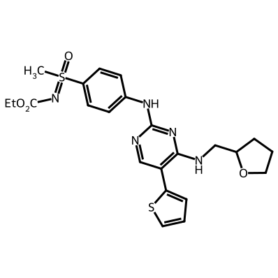 CCOC(=O)N=S(C)(=O)c1ccc(Nc2ncc(-c3cccs3)c(NCC3CCCO3)n2)cc1